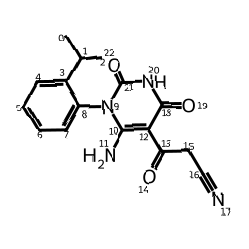 CC(C)c1ccccc1-n1c(N)c(C(=O)CC#N)c(=O)[nH]c1=O